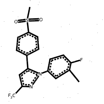 Cc1cc(-n2nc(C(F)(F)F)cc2-c2ccc(S(C)(=O)=O)cc2)ccc1F